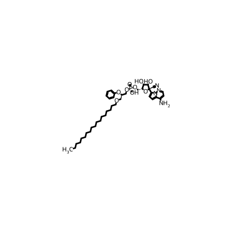 CCCCCCCCCCCCCCCCCCOC[C@H](COP(=O)(O)OC[C@H]1O[C@@](C#N)(c2ccc3c(N)ccnn23)[C@H](O)[C@@H]1O)Oc1ccccc1